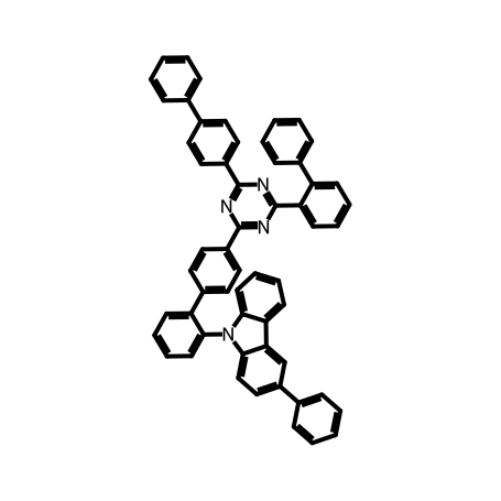 c1ccc(-c2ccc(-c3nc(-c4ccc(-c5ccccc5-n5c6ccccc6c6cc(-c7ccccc7)ccc65)cc4)nc(-c4ccccc4-c4ccccc4)n3)cc2)cc1